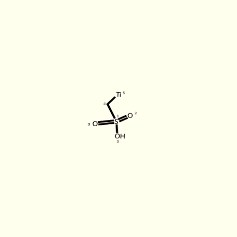 O=S(=O)(O)[CH2][Ti]